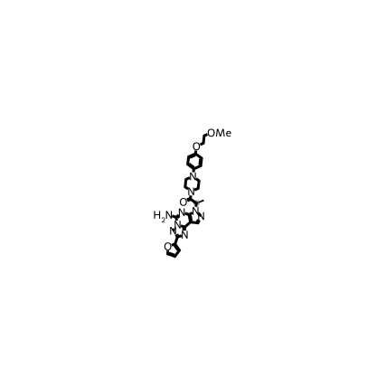 COCCOc1ccc(N2CCN(C(=O)[C@@H](C)n3ncc4c3nc(N)n3nc(-c5ccco5)nc43)CC2)cc1